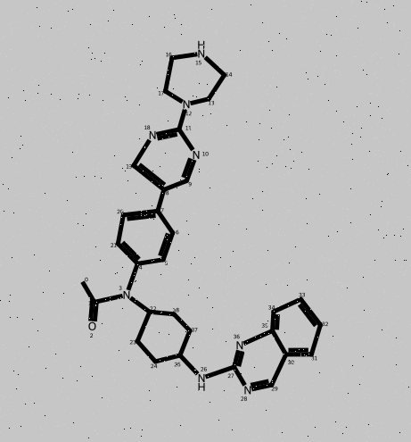 CC(=O)N(c1ccc(-c2cnc(N3CCNCC3)nc2)cc1)C1CCC(Nc2ncc3ccccc3n2)CC1